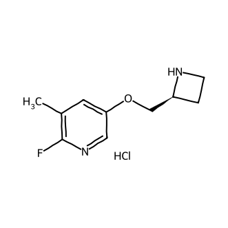 Cc1cc(OC[C@@H]2CCN2)cnc1F.Cl